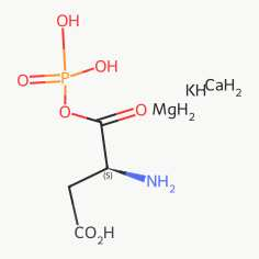 N[C@@H](CC(=O)O)C(=O)OP(=O)(O)O.[CaH2].[KH].[MgH2]